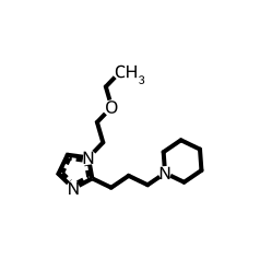 CCOCCn1ccnc1CCCN1CCCCC1